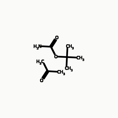 CC(C)(C)OC(N)=O.CC(C)=O